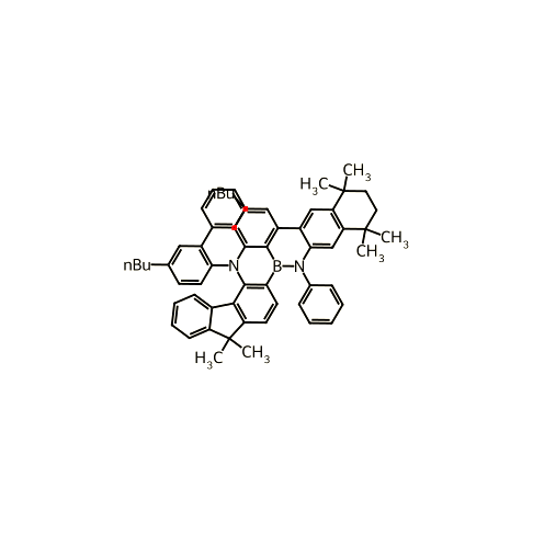 CCCCc1ccc(N2c3cc(CCCC)cc4c3B(c3ccc5c(c32)-c2ccccc2C5(C)C)N(c2ccccc2)c2cc3c(cc2-4)C(C)(C)CCC3(C)C)c(-c2ccccc2)c1